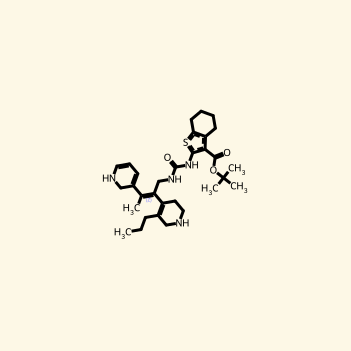 CCCC1=C(/C(CNC(=O)Nc2sc3c(c2C(=O)OC(C)(C)C)CCCC3)=C(\C)C2=CC=CNC2)CCNC1